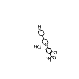 CN(C)C(=O)c1ccc(N2CCC(C3CCNCC3)CC2)cc1Cl.Cl